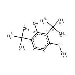 COc1ccc(C(C)(C)C)c(O)c1C(C)(C)C